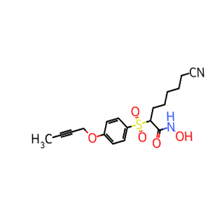 CC#CCOc1ccc(S(=O)(=O)C(CCCCCC#N)C(=O)NO)cc1